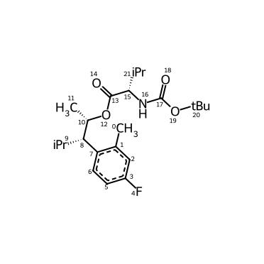 Cc1cc(F)ccc1[C@H](C(C)C)[C@H](C)OC(=O)[C@@H](NC(=O)OC(C)(C)C)C(C)C